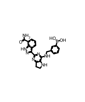 NC(=O)c1cccc2c(-c3nc4c(c(NCc5cccc(B(O)O)c5)n3)NCC4)n[nH]c12